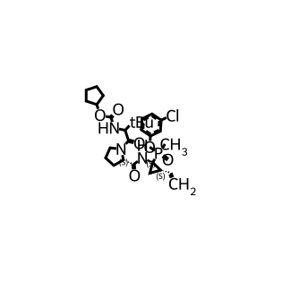 C=C[C@@H]1C[C@]1(NC(=O)[C@@H]1CCCN1C(=O)C(NC(=O)OC1CCCC1)C(C)(C)C)P(C)(=O)Oc1cccc(Cl)c1